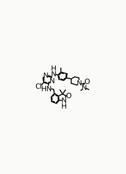 Cc1cc(C2CCN(C(=O)N(C)C)CC2)ccc1Nc1ncc(Cl)c(NCc2cccc3c2C(C)(C)C(=O)N3)n1